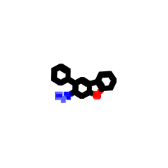 NC1=C(C2C=CC=CC2)C=C2C3=C(CCC=C3)OC2C1